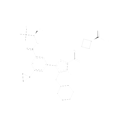 Cc1c(C(=O)N[C@H]2C[C@H](C(=O)O)C2)cc(-c2cc(C(=O)N[C@H](C)C(F)(F)F)cc(C3(C)CC3)c2)n1CC1CCCCC1